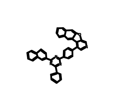 c1ccc(-c2nc(-c3ccc(-c4cncc5oc6cc7ccccc7cc6c45)cc3)nc(-c3ccc4ccccc4c3)n2)cc1